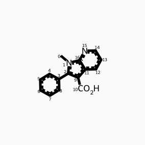 Cn1c(-c2ccccc2)c(C(=O)O)c2cccnc21